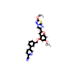 COc1cc(OCc2cccc(-c3ccc(C#N)nc3)c2)c2cc(-c3cn4nc(OC)sc4n3)oc2c1